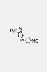 Cc1cc(Nc2ccc(N=O)cc2)n[nH]1